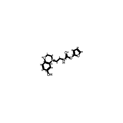 O=C(NCCN1CCOc2ccc(O)cc21)Oc1ccco1